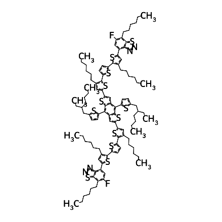 CCCCCCc1cc(-c2cc3c(-c4ccc(CC(CC)CCCC)s4)c4sc(-c5cc(CCCCCC)c(-c6ccc(-c7sc(-c8cc(F)c(CCCCCC)c9snnc89)cc7CCCCCC)s6)s5)cc4c(-c4ccc(CC(CC)CCCC)s4)c3s2)sc1-c1ccc(-c2sc(-c3cc(F)c(CCCCCC)c4snnc34)cc2CCCCCC)s1